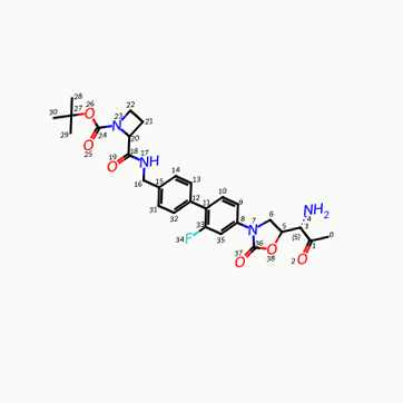 CC(=O)[C@@H](N)C1CN(c2ccc(-c3ccc(CNC(=O)C4CCN4C(=O)OC(C)(C)C)cc3)c(F)c2)C(=O)O1